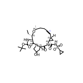 CC[C@@H]1O[C@H](C)CC/C=C\[C@@H]2C[C@@]2(C(=O)NS(=O)(=O)C2CC2)NC(=O)[C@@H]2C[C@@H](O)CN2C(=O)[C@H]1NC(=O)OC(C)(C)C